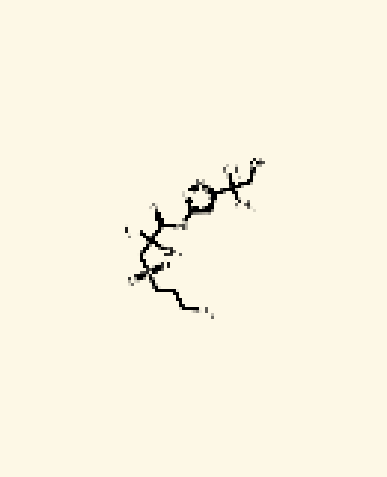 CC(C)(CS(=O)(=O)CCCC(F)(F)F)C(=O)Nc1cc(C(C)(C)CO)no1